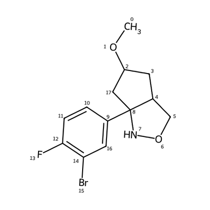 COC1CC2CONC2(c2ccc(F)c(Br)c2)C1